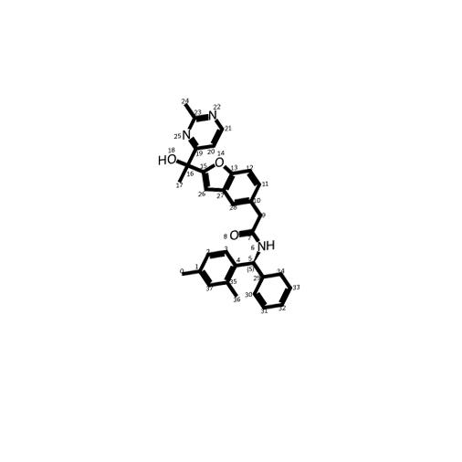 Cc1ccc([C@@H](NC(=O)Cc2ccc3oc(C(C)(O)c4ccnc(C)n4)cc3c2)C2C=CC=CC2)c(C)c1